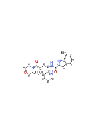 CCc1cccc2c1NC(C(=O)NC(CCC(=O)N1CCOCC1)C1NCCCC1C)C2